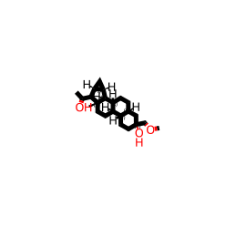 COC[C@@]1(O)CC[C@H]2[C@@H](CC[C@@H]3[C@@H]2CC[C@]2(C)C(C(C)O)[C@H]4C[C@H]4[C@@H]32)C1